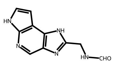 O=CNCc1nc2cnc3[nH]ccc3c2[nH]1